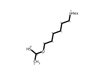 CCCCCCCCCCCCOC(C)S